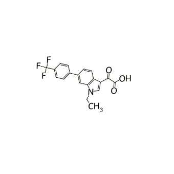 CCn1cc(C(=O)C(=O)O)c2ccc(-c3ccc(C(F)(F)F)cc3)cc21